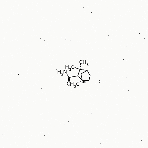 CC1(C)C2CC[C@](C)(C2)C1C(N)=O